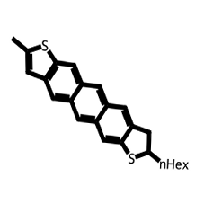 CCCCCCC1Cc2cc3cc4cc5sc(C)cc5cc4cc3cc2S1